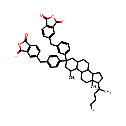 CC(C)CCCC(C)C1CCC2C3CCC4CC(c5ccc(Cc6ccc7c(c6)C(=O)OC7=O)cc5)(c5cccc(Cc6ccc7c(c6)C(=O)OC7=O)c5)CC(C)C4C3CCC12C